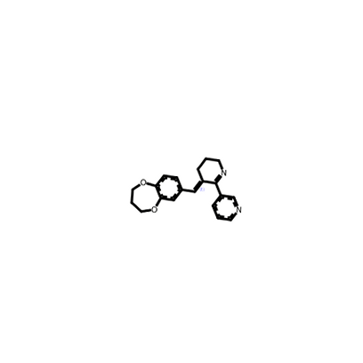 C(=C1/CCCN=C1c1cccnc1)/c1ccc2c(c1)OCCCO2